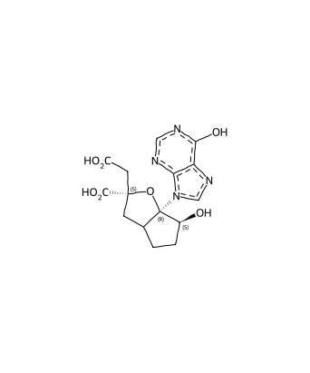 O=C(O)C[C@]1(C(=O)O)CC2CC[C@H](O)[C@]2(n2cnc3c(O)ncnc32)O1